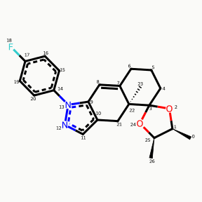 C[C@@H]1OC2(CCCC3=Cc4c(cnn4-c4ccc(F)cc4)C[C@@]32C)O[C@@H]1C